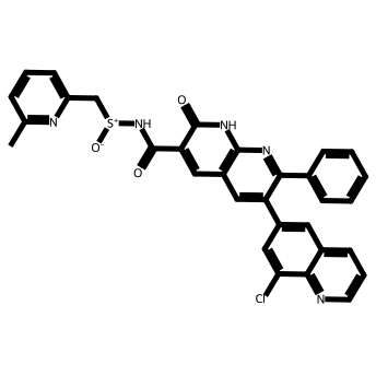 Cc1cccc(C[S+]([O-])NC(=O)c2cc3cc(-c4cc(Cl)c5ncccc5c4)c(-c4ccccc4)nc3[nH]c2=O)n1